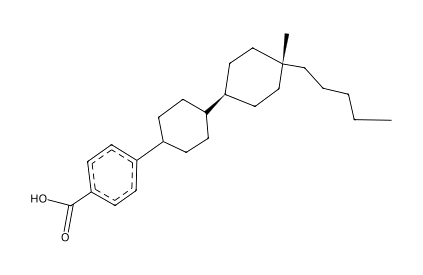 CCCCC[C@]1(C)CC[C@@H](C2CCC(c3ccc(C(=O)O)cc3)CC2)CC1